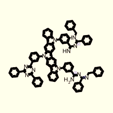 N=C(/N=C(\NCc1ccccc1)c1ccccc1)c1cccc(-n2c3ccccc3c3cc4c(cc32)c2cc3c(cc2n4-c2cccc(-c4nc(-c5ccccc5)nc(-c5ccccc5)n4)c2)c2ccccc2n3-c2cccc(/C(N)=N/C(=N\Cc3ccccc3)c3ccccc3)c2)c1